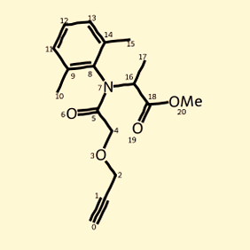 C#CCOCC(=O)N(c1c(C)cccc1C)C(C)C(=O)OC